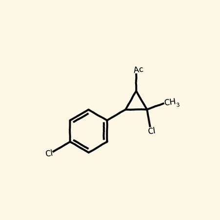 CC(=O)C1C(c2ccc(Cl)cc2)C1(C)Cl